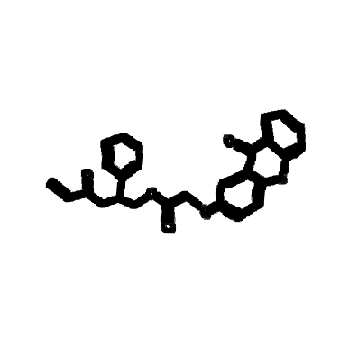 C=CC(=O)CC(COC(=O)COc1ccc2sc3ccccc3c(=O)c2c1)c1ccccc1